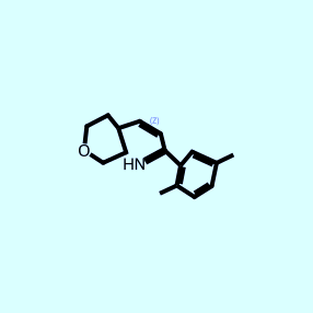 Cc1ccc(C)c(C(=N)/C=C\C2CCOCC2)c1